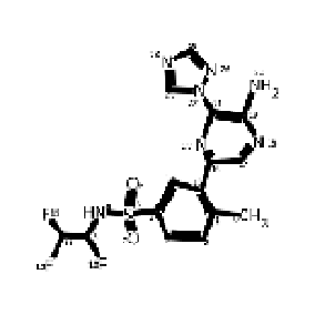 Cc1ccc(S(=O)(=O)NC(F)C(F)F)cc1-c1cnc(N)c(-n2cncn2)n1